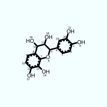 Oc1ccc(C2Oc3c(ccc(O)c3O)C(O)C2O)cc1O